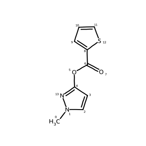 Cn1ccc(OC(=O)c2cccs2)n1